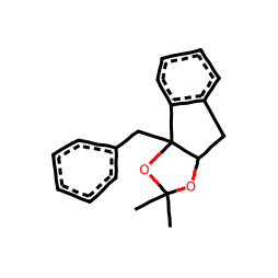 CC1(C)OC2Cc3ccccc3C2(Cc2ccccc2)O1